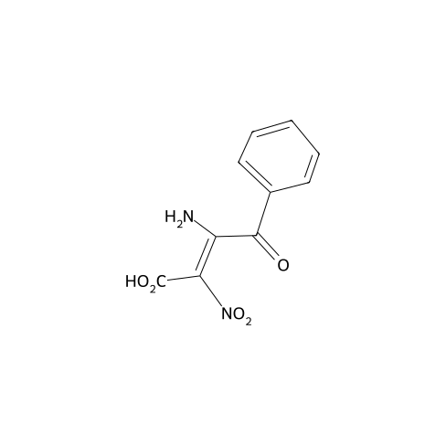 NC(C(=O)c1ccccc1)=C(C(=O)O)[N+](=O)[O-]